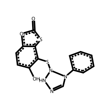 O=c1oc2ccc(O)c(SN3NN=CN3c3ccccc3)c2s1